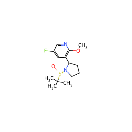 COc1ncc(F)cc1C1CCCN1[S@@+]([O-])C(C)(C)C